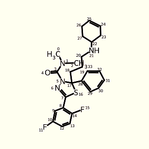 CN(C)C(=O)N1N=C(c2cc(F)ccc2F)SC1(CCCNC1CC=CCC1)c1ccccc1